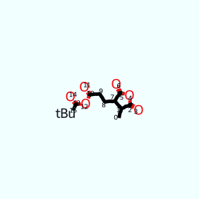 CC1C(=O)OC(=O)C1CCC(=O)OC(=O)C(C)(C)C